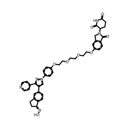 O=C1CCC(N2Cc3cc(OCCOCCOCCOc4ccc(-n5cc(-c6ccc7c(c6)CC/C7=N\O)c(-c6ccncc6)n5)cc4)ccc3C2=O)C(=O)N1